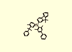 Cc1ccc(N(c2ccc3c(c2)C(C)(C)c2ccccc2-3)c2c(C)cc(-c3ccccc3)cc2C)cc1C(C)(C)c1ccccc1